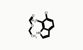 CCOC=O.Nc1c(Cl)ccc2cc[nH]c12